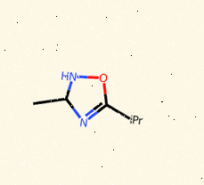 CC1N=C(C(C)C)ON1